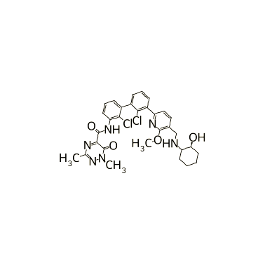 COc1nc(-c2cccc(-c3cccc(NC(=O)c4nc(C)nn(C)c4=O)c3Cl)c2Cl)ccc1CNC1CCCC[C@@H]1O